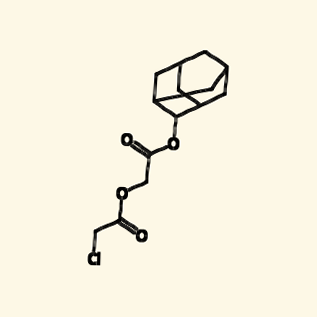 O=C(CCl)OCC(=O)OC1C2CC3CC(C2)CC1C3